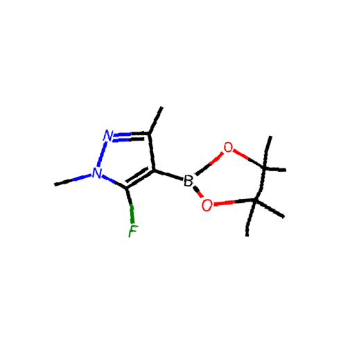 Cc1nn(C)c(F)c1B1OC(C)(C)C(C)(C)O1